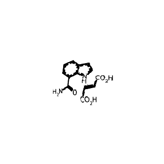 NC(=O)c1cccc2cc[nH]c12.O=C(O)/C=C/C(=O)O